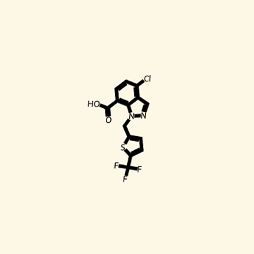 O=C(O)c1ccc(Cl)c2cnn(Cc3ccc(C(F)(F)F)s3)c12